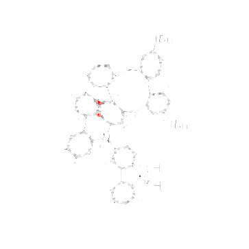 CC(C)(C)c1ccc2c(c1)Cc1ccccc1-c1ccc(N(c3ccc4c(c3)-c3ccccc3C4(C)C)c3ccccc3-c3ccccc3)cc1Cc1cc(C(C)(C)C)ccc1-2